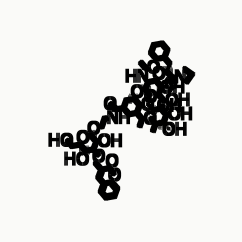 CCC1CC(C(=O)NCCO[C@H]2OC(CO)[C@@H](O)C(OCc3cc4ccccc4oc3=O)C2O)C[C@@H](O[C@@H]2OC(CO)[C@H](O)C(O[C@@H](CC3CCCCC3)C(=O)N3CCC3)C2NC(C)=O)C1O[C@@H]1OC(C)[C@@H](O)C(O)C1O